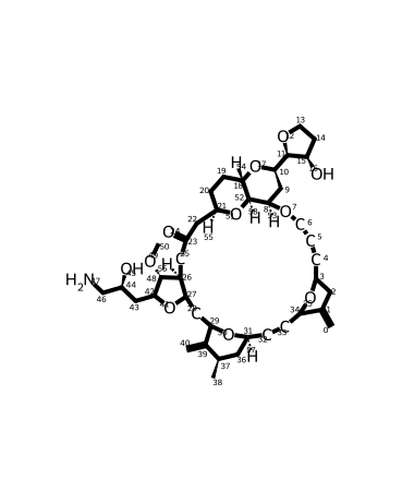 C=C1CC2CCCO[C@@H]3C[C@H]([C@H]4OCC[C@H]4O)O[C@H]4CC[C@H](CC(=O)C[C@H]5C(CC6O[C@@H](CCC1O2)C[C@@H](C)C6=C)OC(C[C@H](O)CN)[C@@H]5OC)O[C@@H]43